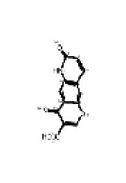 O=C(O)c1coc2cc3ccc(=O)[nH]c3cc2c1=O